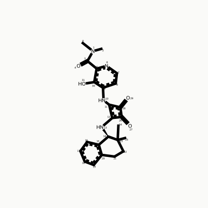 CN(C)C(=O)c1nccc(Nc2c(N[C@@H]3c4ccccc4CCC3(C)C)c(=O)c2=O)c1O